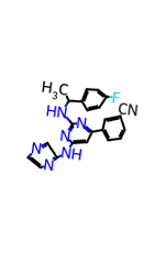 CC(Nc1nc(Nc2cnccn2)cc(-c2cccc(C#N)c2)n1)c1ccc(F)cc1